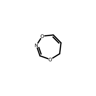 C1=CON=COC1